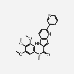 COc1cc(N(C)C(=O)c2cc3nc(-c4cccnc4)ccc3[nH]2)cc(OC)c1OC